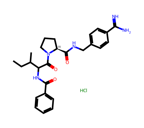 CCC(C)C(NC(=O)c1ccccc1)C(=O)N1CCC[C@H]1C(=O)NCc1ccc(C(=N)N)cc1.Cl